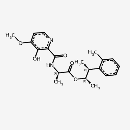 COc1ccnc(C(=O)N[C@H](C)C(=O)O[C@H](C)[C@@H](C)c2ccccc2C)c1O